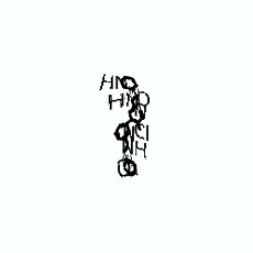 O=C(Nc1cc(-c2cccc(NC[C@@H]3CCCO3)n2)c(Cl)cn1)[C@@H]1CCCNC1